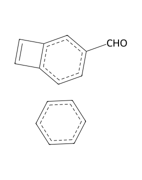 O=Cc1ccc2c(c1)C=C2.c1ccccc1